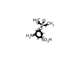 C=CS(=O)(=O)C=C.Nc1cccc(S(=O)(=O)O)c1